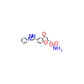 NC(=O)OCc1cc(=O)c2cc(-c3cn(-c4ccccc4)nn3)ccc2o1